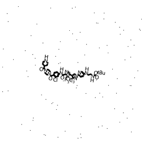 Cn1c(-c2cn(-c3ccc(NCCNC(=O)OC(C)(C)C)cn3)nc2C(F)(F)F)cnc1C(=O)Nc1ccc(C(=O)N2CCN(C(=O)C3CCNCC3)CC2)c(Cl)c1